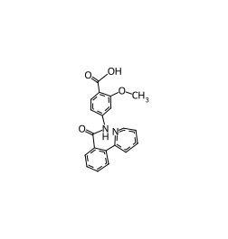 COc1cc(NC(=O)c2ccccc2-c2ccccn2)ccc1C(=O)O